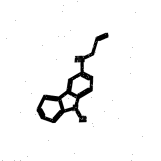 C=CCNc1ccc2c(c1)c1ccccc1n2CC